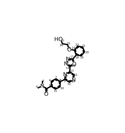 CN(C)C(=O)c1ccc(-c2cncc(-c3nnc(-c4ccccc4OCCO)o3)n2)cc1